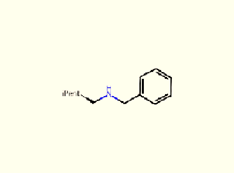 CCC[C@H](C)CNCc1ccccc1